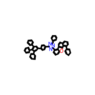 C1=CC(c2cccc3ccc4c(oc5cccc(-c6nc(-c7ccccc7)nc(-c7ccc(-c8cc(-c9ccccc9)c(-c9ccccc9)c(-c9ccccc9)c8)cc7)n6)c54)c23)=CCC1